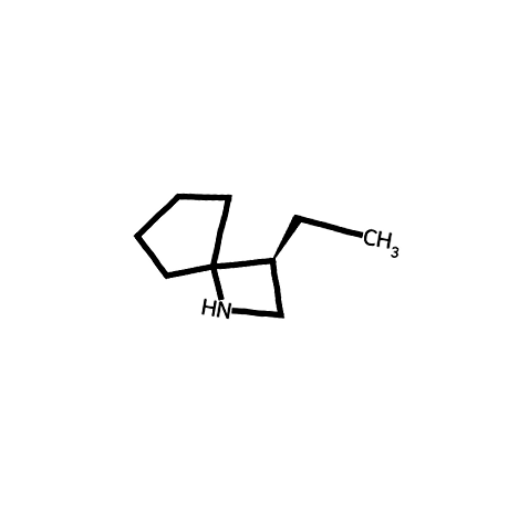 CC[C@H]1CNC12CCCC2